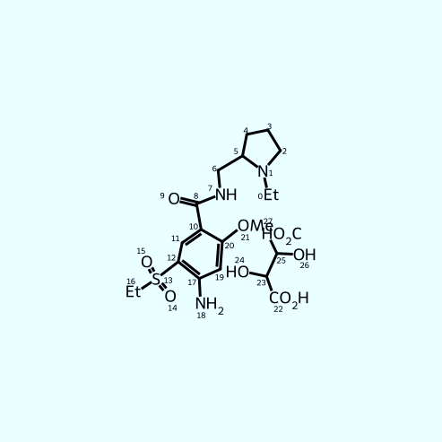 CCN1CCCC1CNC(=O)c1cc(S(=O)(=O)CC)c(N)cc1OC.O=C(O)C(O)C(O)C(=O)O